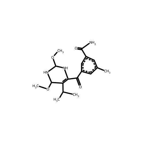 COC1NC(C(=O)c2cc(C)cc(C(N)=O)c2)=C(C(C)C)C(OC)N1